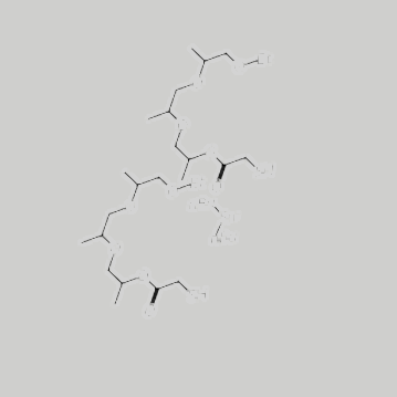 CCC[CH2][Sn][CH2]CCC.CCOCC(C)OCC(C)OCC(C)OC(=O)CS.CCOCC(C)OCC(C)OCC(C)OC(=O)CS